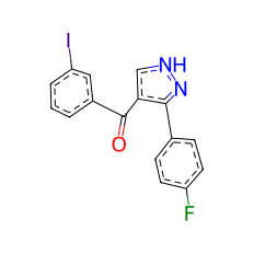 O=C(c1cccc(I)c1)c1c[nH]nc1-c1ccc(F)cc1